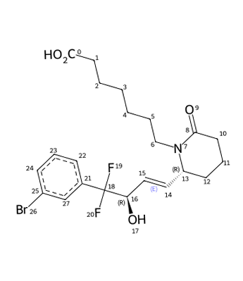 O=C(O)CCCCCCN1C(=O)CCC[C@@H]1/C=C/[C@@H](O)C(F)(F)c1cccc(Br)c1